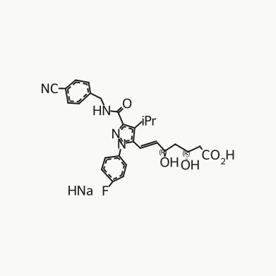 CC(C)c1c(C(=O)NCc2ccc(C#N)cc2)nn(-c2ccc(F)cc2)c1C=C[C@H](O)C[C@@H](O)CC(=O)O.[NaH]